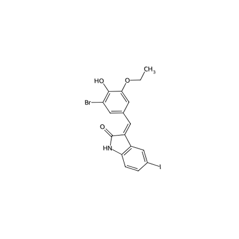 CCOc1cc(C=C2C(=O)Nc3ccc(I)cc32)cc(Br)c1O